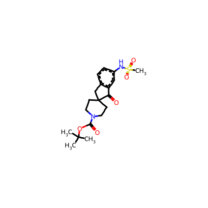 CC(C)(C)OC(=O)N1CCC2(CC1)Cc1ccc(NS(C)(=O)=O)cc1C2=O